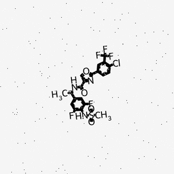 C[C@@H](NC(=O)c1coc(-c2ccc(Cl)c(C(F)(F)F)c2)n1)c1cc(F)c(NS(C)(=O)=O)c(F)c1